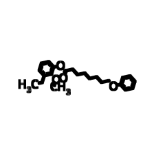 CCc1cccc(OC(=O)CCCCCCCOc2ccccc2)c1OC